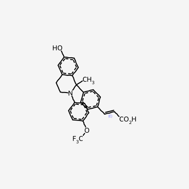 CC1(c2ccc(/C=C/C(=O)O)cc2)c2ccc(O)cc2CCN1c1ccc(OC(F)(F)F)cc1